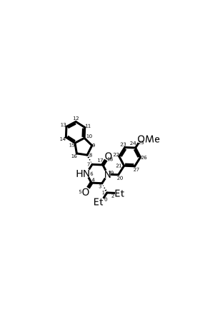 CCC(CC)[C@@H]1C(=O)N[C@H](C2Cc3ccccc3C2)C(=O)N1Cc1ccc(OC)cc1